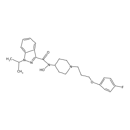 CC(C)n1nc(C(=O)N(O)C2CCN(CCCOc3ccc(F)cc3)CC2)c2ccccc21